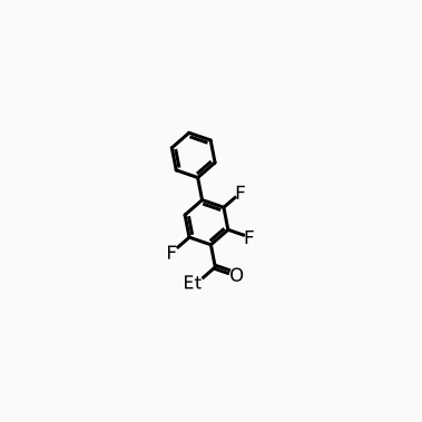 CCC(=O)c1c(F)cc(-c2ccccc2)c(F)c1F